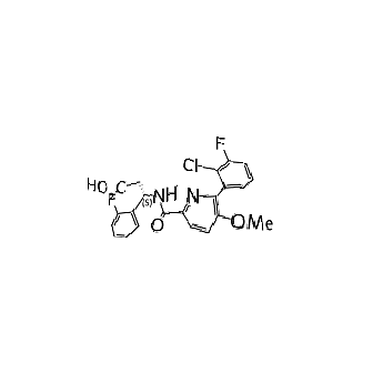 COc1ccc(C(=O)N[C@@H](CC(=O)O)c2ccccc2F)nc1-c1cccc(F)c1Cl